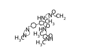 C=CC(=O)N1CCC(Nc2cc(-c3ccc(CN4CCCN(C)CC4)cc3)cc(C(=O)NCc3c(C)cc(C)[nH]c3=O)c2C)CC1